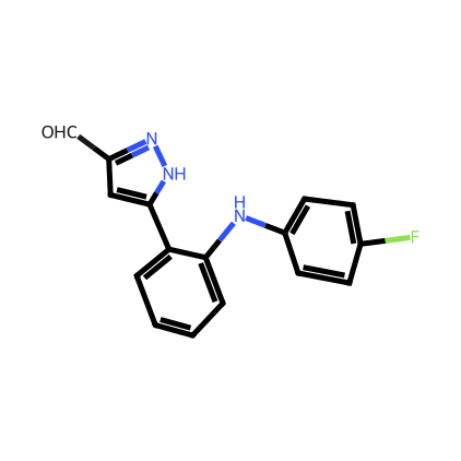 O=Cc1cc(-c2ccccc2Nc2ccc(F)cc2)[nH]n1